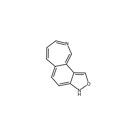 C1=Cc2ccc3c(c2=CN=C1)=CON3